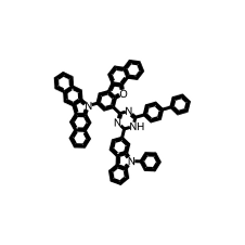 c1ccc(-c2ccc(C3=NC(c4cc(-n5c6cc7ccccc7cc6c6cc7ccccc7cc65)cc5c4oc4c6ccccc6ccc54)=NC(c4ccc5c6ccccc6n(-c6ccccc6)c5c4)N3)cc2)cc1